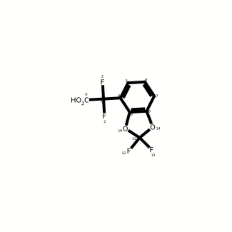 O=C(O)C(F)(F)c1cccc2c1OC(F)(F)O2